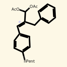 CCCCCc1ccc(/C=C(\Cc2ccccc2)C(OC(C)=O)OC(C)=O)cc1